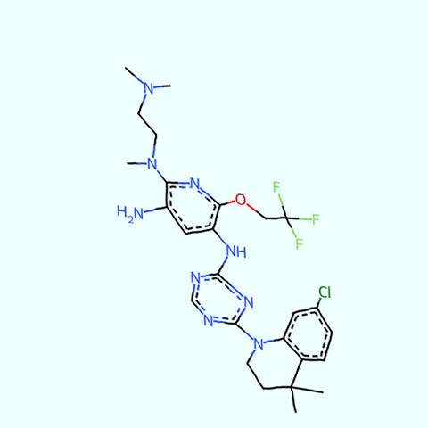 CN(C)CCN(C)c1nc(OCC(F)(F)F)c(Nc2ncnc(N3CCC(C)(C)c4ccc(Cl)cc43)n2)cc1N